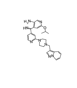 CC(C)Oc1cc(C(=N)c2ccnc(N3CCN(Cc4cnn5ccccc45)CC3)c2)c(N)cn1